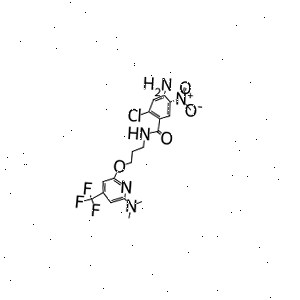 CN(C)c1cc(C(F)(F)F)cc(OCCCNC(=O)c2cc([N+](=O)[O-])c(N)cc2Cl)n1